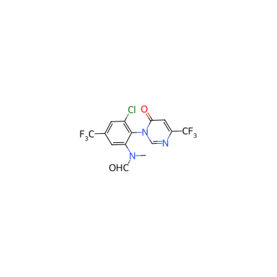 CN(C=O)c1cc(C(F)(F)F)cc(Cl)c1-n1cnc(C(F)(F)F)cc1=O